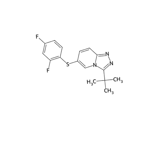 CC(C)(C)c1nnc2ccc(Sc3ccc(F)cc3F)cn12